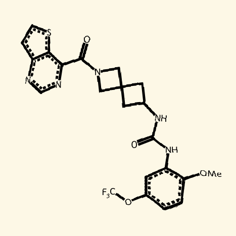 COc1ccc(OC(F)(F)F)cc1NC(=O)NC1CC2(C1)CN(C(=O)c1ncnc3ccsc13)C2